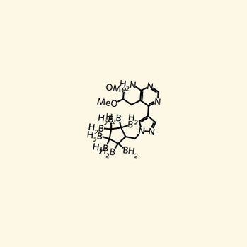 BC1(B)C(Cn2cc(-c3ncnc(N)c3CC(OC)OC)cn2)C(B)(B)C(B)(B)C1(B)B